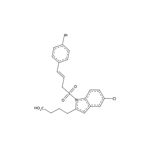 CC(C)c1ccc(C=CCS(=O)(=O)n2c(CCCC(=O)O)cc3cc(Cl)ccc32)cc1